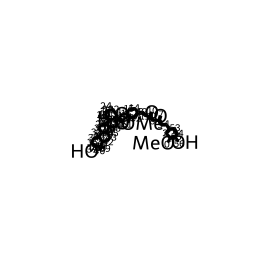 COc1cc(C=CC(=O)CC(=O)C=Cc2ccc(OC(=O)[C@]34CC[C@@H](C)[C@H](C)[C@H]3C3=CCC5[C@@]6(C)CC[C@H](O)C(C)(C)C6CC[C@@]5(C)[C@]3(C)CC4)c(OC)c2)ccc1O